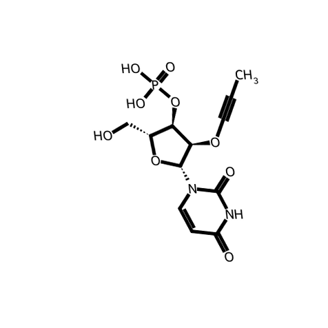 CC#CO[C@@H]1[C@H](OP(=O)(O)O)[C@@H](CO)O[C@H]1n1ccc(=O)[nH]c1=O